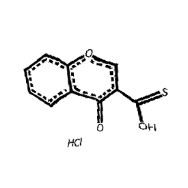 Cl.O=c1c(C(O)=S)coc2ccccc12